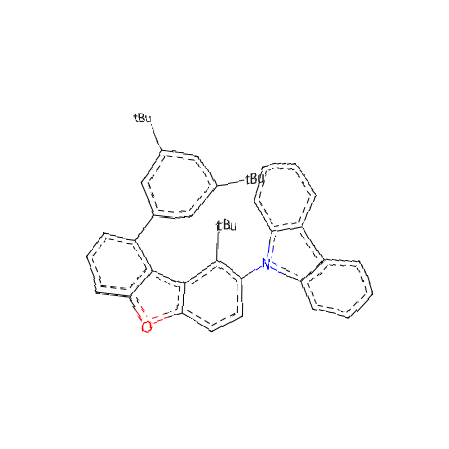 CC(C)(C)c1cc(-c2cccc3oc4ccc(-n5c6ccccc6c6ccccc65)c(C(C)(C)C)c4c23)cc(C(C)(C)C)c1